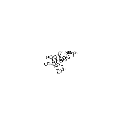 N.N.O=C(O)O.O=C([O-])[O-].O=C([O-])[O-].[Zn+2].[Zn+2]